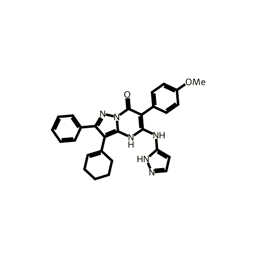 COc1ccc(-c2c(Nc3ccn[nH]3)[nH]c3c(C4=CCCCC4)c(-c4ccccc4)nn3c2=O)cc1